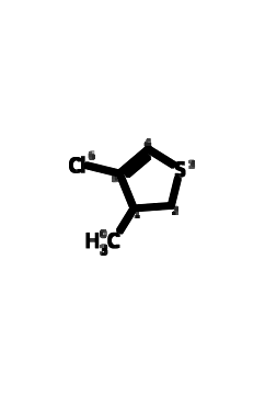 CC1CSC=C1Cl